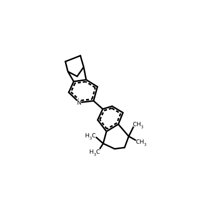 CC1(C)CCC(C)(C)c2cc(-c3cc4c(cn3)C3CCC4C3)ccc21